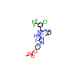 CCOC(=O)COC1CCN(c2ncnc(Nc3nc(-c4cc(Cl)cc(C(F)(F)F)c4)c(CN4[C@H](C)CC[C@H]4C)s3)c2F)CC1